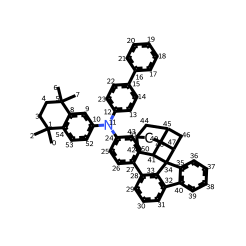 CC1(C)CCC(C)(C)c2cc(N(c3ccc(-c4ccccc4)cc3)c3ccc(-c4cccc5c4C4(c6ccccc6-5)C5CC6CC7CC4C75C6)cc3)ccc21